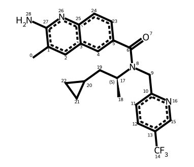 Cc1cc2cc(C(=O)N(Cc3ccc(C(F)(F)F)cn3)[C@@H](C)CC3CC3)ccc2nc1N